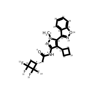 Cn1nc(NC(=O)C[C@H]2CC(F)(F)C2(F)F)c(C2CCC2)c1-c1noc2ccccc12